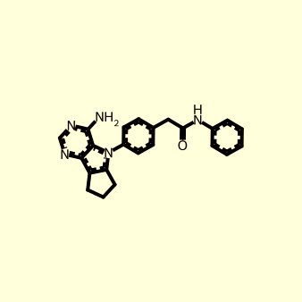 Nc1ncnc2c3c(n(-c4ccc(CC(=O)Nc5ccccc5)cc4)c12)CCC3